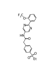 CCS(=O)(=O)c1ccc(CC(=O)Nc2cnc(-c3ccccc3OC(F)(F)F)nc2)cc1